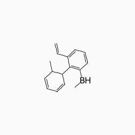 C=Cc1cccc(BC)c1C1C=CC=CC1C